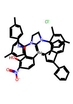 Cc1ccc(N=Cc2[c]([Ru](=[C]3C=C(c4ccccc4)c4ccccc43)=[C]3N(c4c(C)cc(C)cc4C)CCN3c3c(C)cc(C)cc3C)ccc([N+](=O)[O-])c2O)cc1.[Cl-]